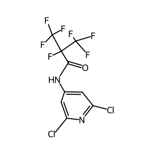 O=C(Nc1cc(Cl)nc(Cl)c1)C(F)(C(F)(F)F)C(F)(F)F